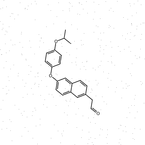 CC(C)Oc1ccc(Oc2ccc3cc(CC=O)ccc3c2)cc1